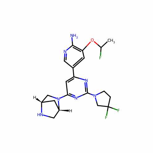 CC(F)Oc1cc(-c2cc(N3C[C@@H]4C[C@H]3CN4)nc(N3CCC(F)(F)C3)n2)cnc1N